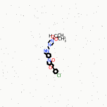 CC(C)(C)OC(=O)N1CCN(CCn2ncc3cc(-n4ccc5oc(-c6ccc(Cl)cc6)cc5c4=O)ccc32)CC1